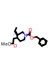 C/C=C1\CN(C(=O)OCc2ccccc2)CCC1CC(=O)OC